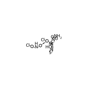 NC(=O)C(=O)N1CCc2c(c(-c3ccc(Cl)c(C#Cc4ccc(CNCc5ccc(Cl)cc5)cc4)c3)nn2C[C@H](O)CN2CCSCC2)C1